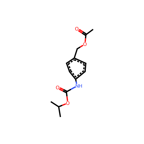 CC(=O)OCc1ccc(NC(=O)OC(C)C)cc1